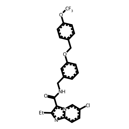 CCc1nc2ccc(Cl)cn2c1C(=O)NCc1cccc(OCc2ccc(OC(F)(F)F)cc2)c1